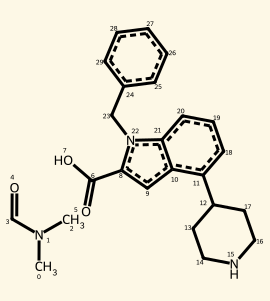 CN(C)C=O.O=C(O)c1cc2c(C3CCNCC3)cccc2n1Cc1ccccc1